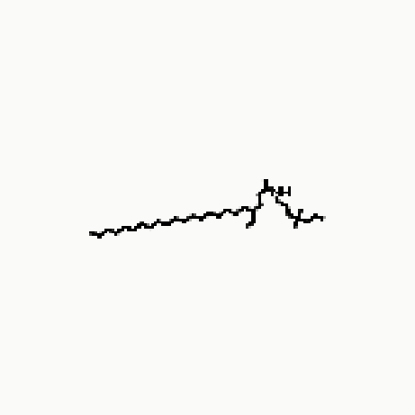 C=C(CCC(CC)CCCCCCCCCCCCCCCCCCC)NCCCC(C)(C)CCC